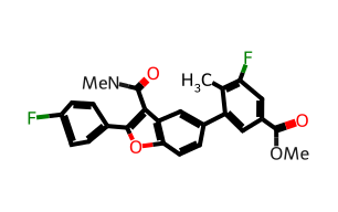 CNC(=O)c1c(-c2ccc(F)cc2)oc2ccc(-c3cc(C(=O)OC)cc(F)c3C)cc12